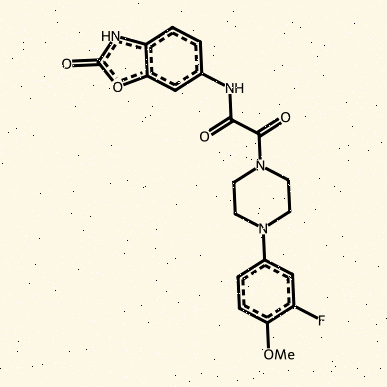 COc1ccc(N2CCN(C(=O)C(=O)Nc3ccc4[nH]c(=O)oc4c3)CC2)cc1F